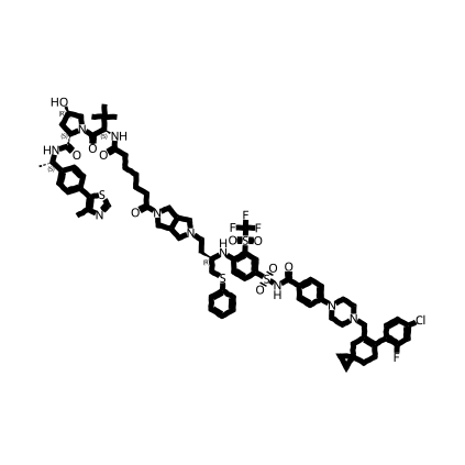 Cc1ncsc1-c1ccc([C@H](C)NC(=O)[C@@H]2C[C@@H](O)CN2C(=O)[C@@H](NC(=O)CCCCCC(=O)N2CC3CN(CC[C@H](CSc4ccccc4)Nc4ccc(S(=O)(=O)NC(=O)c5ccc(N6CCN(CC7=C(c8ccc(Cl)cc8F)CCC8(CC8)C7)CC6)cc5)cc4S(=O)(=O)C(F)(F)F)CC3C2)C(C)(C)C)cc1